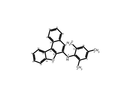 Cc1cc(C)c(Nc2cc3ccccc3c3c2oc2ccccc23)c(C)c1